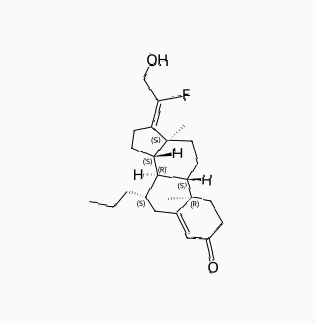 CCC[C@H]1CC2=CC(=O)CC[C@]2(C)[C@H]2CC[C@]3(C)C(=C(F)CO)CC[C@H]3[C@H]12